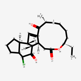 CC[C@H]1CCCC[C@@H](C)C(=O)C2=C[C@@H]3[C@@H](C(=O)C(Br)C4CCC[C@H]43)[C@@H]2CC(=O)O1